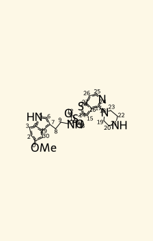 COc1ccc2[nH]cc(CCNS(=O)(=O)c3cc4c(N5CCNCC5)nccc4s3)c2c1